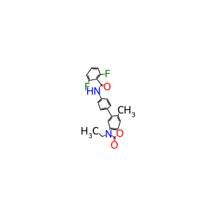 CCn1c(=O)oc2cc(C)c(-c3ccc(NC(=O)c4c(F)cccc4F)cc3)cc21